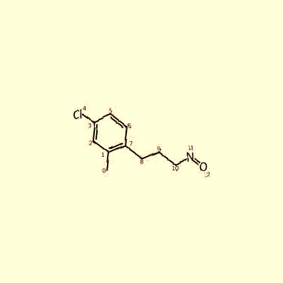 Cc1cc(Cl)ccc1CCCN=O